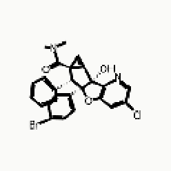 CN(C)C(=O)[C@@]12C=C1[C@@]1(O)c3ncc(Cl)cc3O[C@@]1(c1ccc(Br)cc1)[C@@H]2c1ccccc1